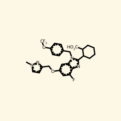 Cn1ccc(COc2cc(F)c3nc(C4CCCCC4C(=O)O)n(Cc4ccc(OC(F)(F)F)cc4)c3c2)n1